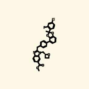 COC(=O)c1ccc2nc(Cc3ccc(-c4cccc5c4OC(C)(c4ccc(Cl)cc4F)O5)cc3)n(C[C@@H]3CCO3)c2c1